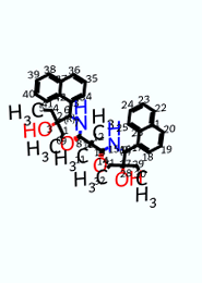 CCC(O)(CC)[C@H](NC(=O)C(C)(C)C(=O)N[C@H](c1cccc2ccccc12)C(O)(CC)CC)c1cccc2ccccc12